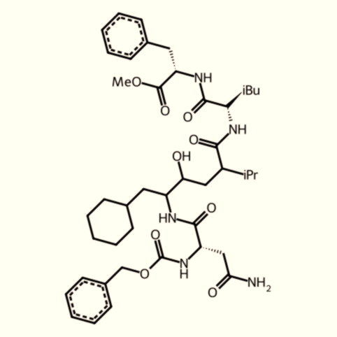 CC[C@H](C)[C@H](NC(=O)C(CC(O)C(CC1CCCCC1)NC(=O)[C@H](CC(N)=O)NC(=O)OCc1ccccc1)C(C)C)C(=O)N[C@@H](Cc1ccccc1)C(=O)OC